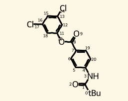 CC(C)(C)C(=O)Nc1ccc(C(=O)Oc2cc(Cl)cc(Cl)c2)cc1